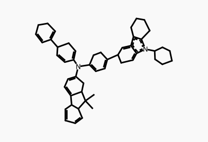 CC1(C)C2CC(N(C3=CCC(C4=CCCC=C4)C=C3)C3=CC=C(C4C=c5c6c(n(C7CCCCC7)c5=CC4)CCCC6)CC3)=CC=C2C2C=CC=CC21